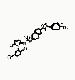 CC(C)c1ccc(Cl)cc1N1C(=O)CS/C1=N\C(=O)NC1CCc2cc(-c3ncn(-c4ccc(OC(F)(F)F)cc4)n3)ccc2C1